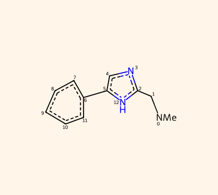 CNCc1ncc(-c2ccccc2)[nH]1